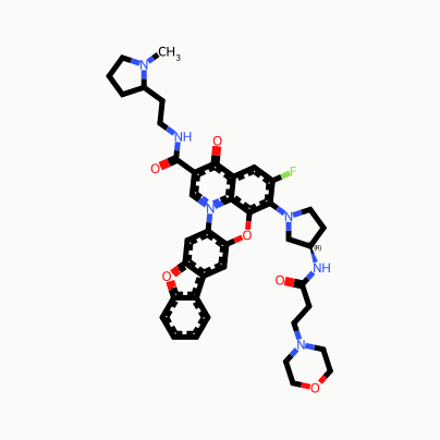 CN1CCCC1CCNC(=O)c1cn2c3c(c(N4CC[C@@H](NC(=O)CCN5CCOCC5)C4)c(F)cc3c1=O)Oc1cc3c(cc1-2)oc1ccccc13